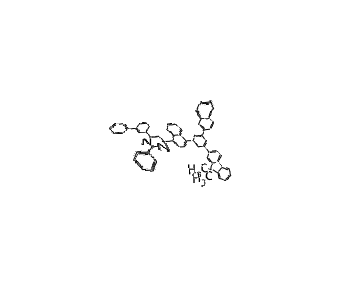 CC1(C)c2ccccc2-c2ccc(-c3cc(-c4ccc5ccccc5c4)cc(-c4ccc(-c5cc(-c6cccc(-c7ccccc7)c6)nc(-c6ccccc6)n5)c5ccccc45)c3)cc21